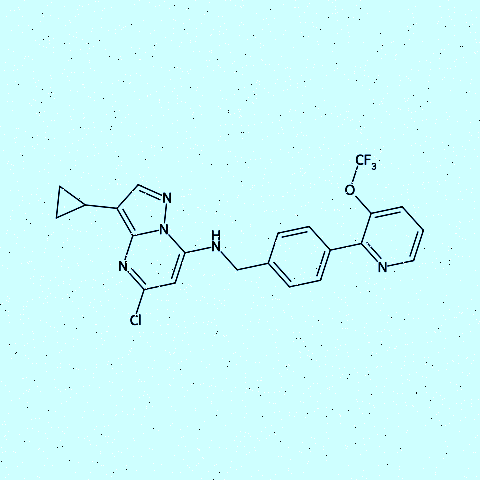 FC(F)(F)Oc1cccnc1-c1ccc(CNc2cc(Cl)nc3c(C4CC4)cnn23)cc1